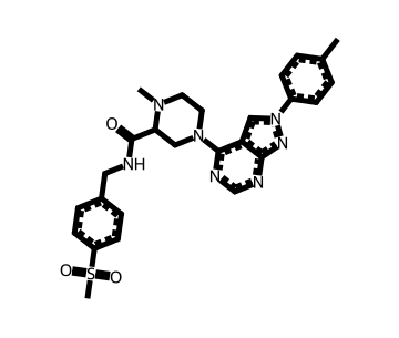 Cc1ccc(-n2cc3c(N4CCN(C)C(C(=O)NCc5ccc(S(C)(=O)=O)cc5)C4)ncnc3n2)cc1